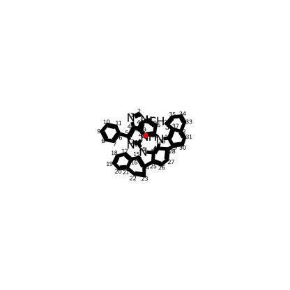 CN1C=NC2=C(c3ccccc3)N=C(n3c4c5ccccc5ccc4c4ccc5c6ccc7ccccc7c6n(-c6ccccc6)c5c43)NC21